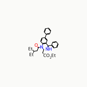 CCOC(=O)CCN(C(=O)CC(CC)CC)c1ccc(-c2ccccc2)cc1C(=N)c1ccccc1